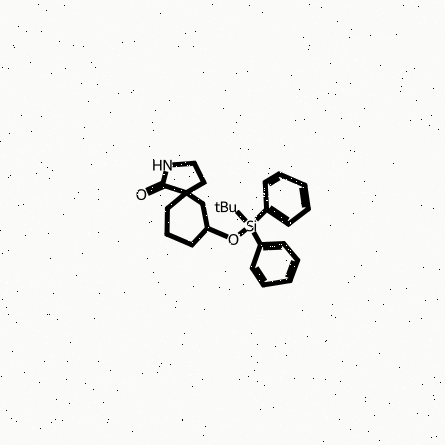 CC(C)(C)[Si](OC1CCCC2(CCNC2=O)C1)(c1ccccc1)c1ccccc1